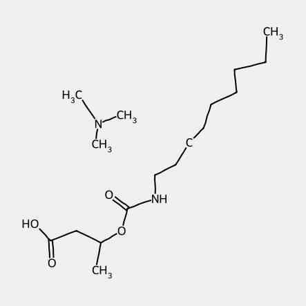 CCCCCCCCCNC(=O)OC(C)CC(=O)O.CN(C)C